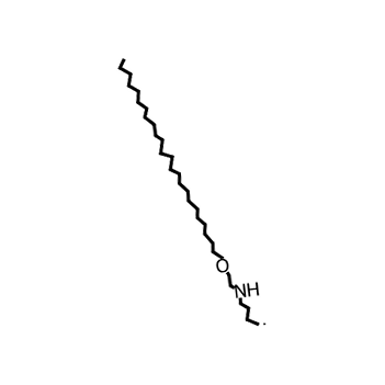 [CH2]CCCNCCOCCCCCCCCCCCCCCCCCCCCCCCCC